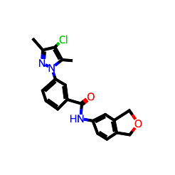 Cc1nn(-c2cccc(C(=O)Nc3ccc4c(c3)COC4)c2)c(C)c1Cl